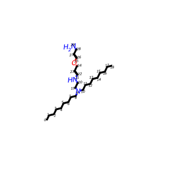 CCCCCCCCCN(CCCCCCCCC)CCNCCCOCCCN